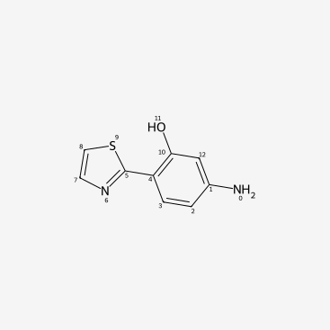 Nc1ccc(-c2nccs2)c(O)c1